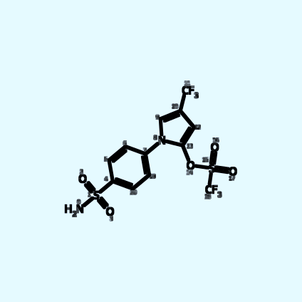 NS(=O)(=O)c1ccc(-n2cc(C(F)(F)F)cc2OS(=O)(=O)C(F)(F)F)cc1